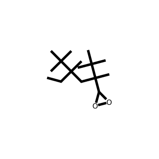 CCC(C)(CC(C)(C1OO1)C(C)(C)C)C(C)(C)C